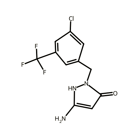 Nc1cc(=O)n(Cc2cc(Cl)cc(C(F)(F)F)c2)[nH]1